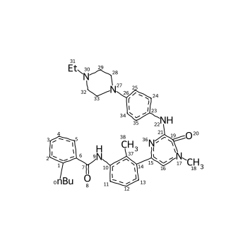 CCCCc1ccccc1C(=O)Nc1cccc(-c2cn(C)c(=O)c(Nc3ccc(N4CCN(CC)CC4)cc3)n2)c1C